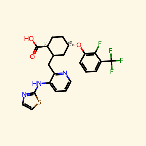 O=C(O)[C@H]1CC[C@H](Oc2cccc(C(F)(F)F)c2F)CC1Cc1ncccc1Nc1nccs1